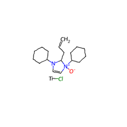 C=CCC1N(C2CCCCC2)C=C[N+]1([O-])C1CCCCC1.[Cl][Ti]